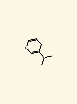 CN(C)C1=[C]OC=CC1